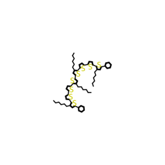 CCCCCCc1cc(-c2ccccc2)sc1-c1ccc(-c2ccc(-c3sc(-c4cc(CCCCCC)c(-c5ccc(-c6ccc(-c7sc(-c8ccccc8)cc7CCCCCC)s6)s5)s4)cc3CCCCCC)s2)s1